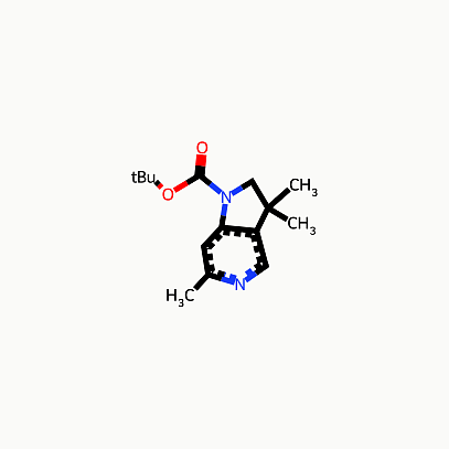 Cc1cc2c(cn1)C(C)(C)CN2C(=O)OC(C)(C)C